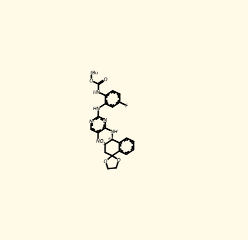 CC(C)(C)OC(=O)Nc1ccc(F)cc1Nc1ncc([N+](=O)[O-])c(N[C@@H]2CCC3(OCCO3)c3ccccc32)n1